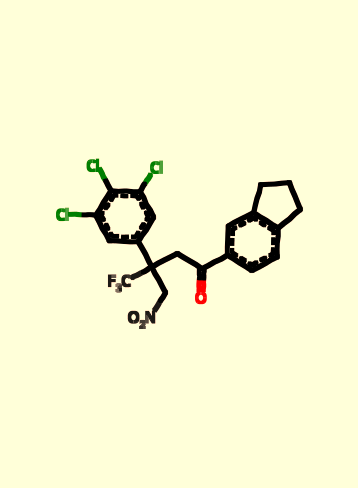 O=C(CC(C[N+](=O)[O-])(c1cc(Cl)c(Cl)c(Cl)c1)C(F)(F)F)c1ccc2c(c1)CCC2